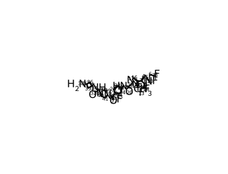 Cn1c(-c2cn(CC(F)F)nc2C(F)(F)F)cnc1C(=O)Nc1ccc(C(=O)N2CCN(C(=O)N[C@H]3C[C@@H](N)C3)CC2)c(F)c1